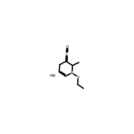 Br.CCON1C=CCC(=C=O)C1C